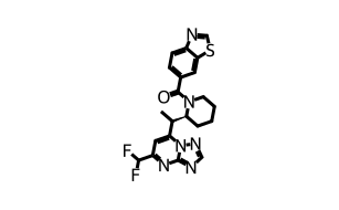 CC(c1cc(C(F)F)nc2ncnn12)[C@@H]1CCCCN1C(=O)c1ccc2ncsc2c1